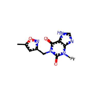 Cc1cc(Cn2c(=O)c3[nH]cnc3n(C(C)C)c2=O)no1